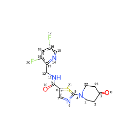 O=C1CCN(c2ncc(C(=O)NCc3ncc(F)cc3F)s2)CC1